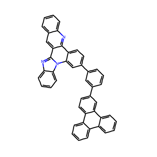 c1cc(-c2ccc3c4ccccc4c4ccccc4c3c2)cc(-c2ccc3c4nc5ccccc5cc4c4nc5ccccc5n4c3c2)c1